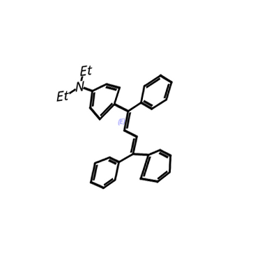 CCN(CC)c1ccc(/C(=C/C=C(c2ccccc2)c2ccccc2)c2ccccc2)cc1